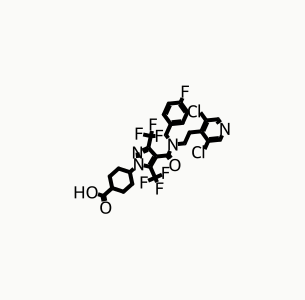 O=C(O)C1CCC(n2nc(C(F)(F)F)c(C(=O)N(CCc3c(Cl)cncc3Cl)Cc3ccc(F)cc3)c2C(F)(F)F)CC1